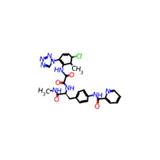 CNC(=O)[C@H](Cc1ccc(NC(=O)c2ccccn2)cc1)NC(=O)C(=O)NC1=C(n2cnnn2)C=CC(Cl)C1C